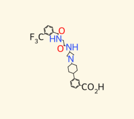 O=C(CNC(=O)c1cccc(C(F)(F)F)c1)NC1CN(C2CCC(c3cccc(C(=O)O)c3)CC2)C1